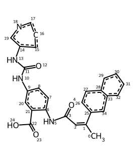 C/C(=C/C(=O)Nc1ccc(NC(=O)Nc2cccnc2)cc1C(=O)O)c1ccc2ccccc2c1